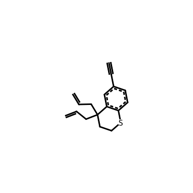 C#Cc1ccc2c(c1)C(CC=C)(CC=C)CCS2